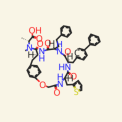 C[C@H](C(=O)O)N(C)C(=O)[C@@H]1Cc2ccc(cc2)OCC(=O)N[C@@H](Cc2cccs2)C(=O)N[C@H](Cc2ccc(-c3ccccc3)cc2)C(=O)N[C@@H](CCc2ccccc2)C(=O)N1